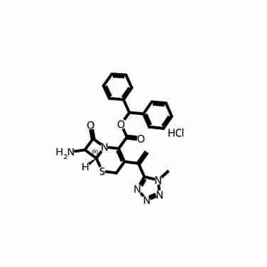 C=C(C1=C(C(=O)OC(c2ccccc2)c2ccccc2)N2C(=O)C(N)[C@H]2SC1)c1nnnn1C.Cl